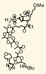 CCN(C(=O)CCCC(=O)OC(C)C(=O)OC(C)C(=O)OC(C)C(=O)OC(C)C(=O)OC(C)C(=O)OC(CNC(C)(C)C)COc1nsnc1N1CCOCC1)[C@@H]1CN(CCCOC)S(=O)(=O)c2sc(S(N)(=O)=O)cc21